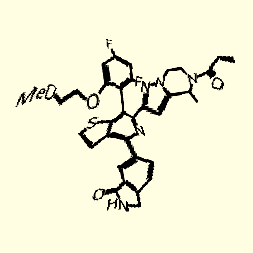 C=CC(=O)N1CCn2nc(-c3nc(-c4ccc5c(c4)C(=O)NC5)c4ccsc4c3-c3c(F)cc(F)cc3OCCOC)cc2C1C